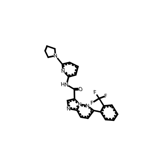 O=C(Nc1cccc(N2CCCC2)n1)c1cnc2ccc(-c3ccccc3C(F)(F)F)nn12